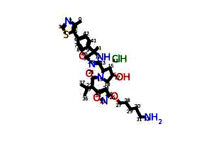 Cc1ncsc1-c1ccc(C2(C)NC(C3C[C@@H](O)CN3C(=O)C(c3cc(OCCCCCN)no3)C(C)C)=NC2=O)cc1.Cl